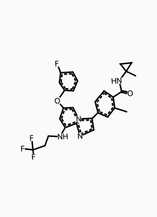 Cc1cc(-c2cnc3c(NCCC(F)(F)F)cc(Oc4cccc(F)c4)cn23)ccc1C(=O)NC1(C)CC1